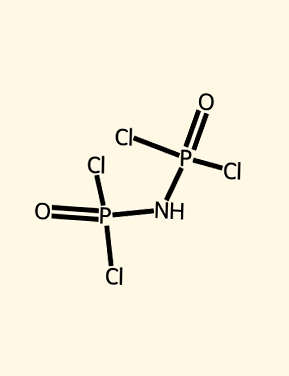 O=P(Cl)(Cl)NP(=O)(Cl)Cl